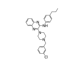 CCCc1ccc(Nc2nc3ccccc3nc2N2CCN(Cc3cccc(Cl)c3)CC2)cc1